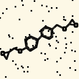 c1cc(-c2ccc(OCC3CO3)cc2)ccc1COC1CO1